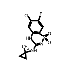 O=S1(=O)N=C(NC2(C(F)(F)F)CC2)Nc2cc(Cl)c(F)cc21